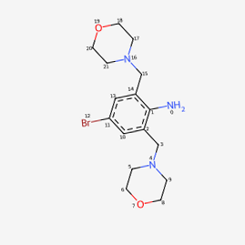 Nc1c(CN2CCOCC2)cc(Br)cc1CN1CCOCC1